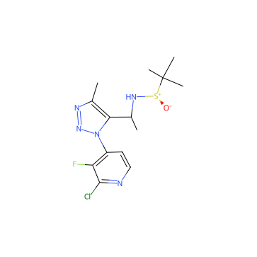 Cc1nnn(-c2ccnc(Cl)c2F)c1C(C)N[S@+]([O-])C(C)(C)C